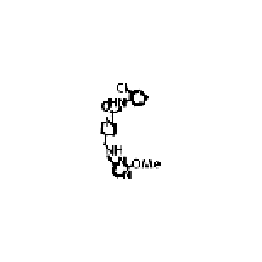 COc1nccc(CNCC2CCN(C(=O)CNc3ccccc3Cl)CC2)n1